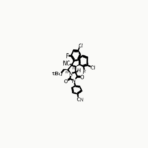 CC(C)(C)C[C@@H]1N2C(=O)N(c3ccc(C#N)cc3)C(=O)[C@H]2[C@H](c2cccc(Cl)c2F)[C@@]1(C#N)c1ccc(Cl)cc1F